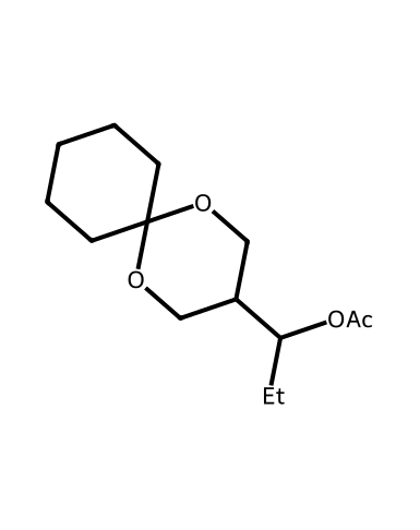 CCC(OC(C)=O)C1COC2(CCCCC2)OC1